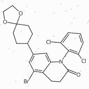 O=C1CCc2c(Br)cc(C3CCC4(CC3)OCCO4)cc2N1c1c(Cl)cccc1Cl